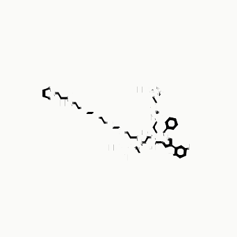 CC(C)(C)[C@H](c1cc(-c2cc(F)ccc2F)cn1Cc1ccccc1)N(CCCNC(=O)OCC[Si](C)(C)C)C(=O)CN(C(=O)CCOCCOCCOCCOCCNC(=O)CCN1C(=O)C=CC1=O)[C@@H](CS)C(=O)O